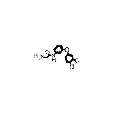 NCC(=O)Nc1cccc(Oc2ccc(Cl)c(Cl)c2)c1